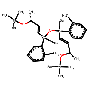 Cc1ccccc1[Si](C=C[C@@H](C)O[Si](C)(C)C(C)(C)C)(O[Si](C=C[C@@H](C)O[Si](C)(C)C(C)(C)C)(c1ccccc1C)C(C)(C)C)C(C)(C)C